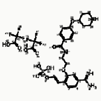 N=C(N)c1ccc(C=COP(=O)(O)O)c(OCCNC(=O)c2ccc(OC3CCNCC3)cc2)c1.O=C(O)C(F)(F)F.O=C(O)C(F)(F)F